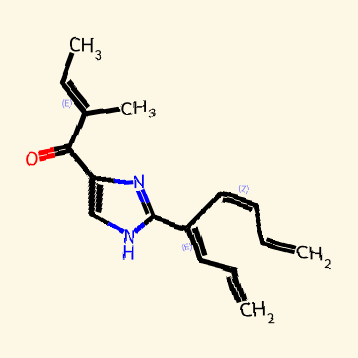 C=C/C=C\C(=C/C=C)c1nc(C(=O)/C(C)=C/C)c[nH]1